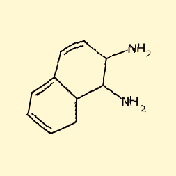 NC1C=CC2=CC=CCC2C1N